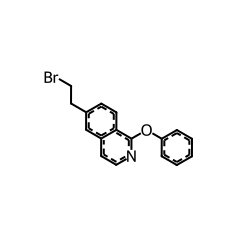 BrCCc1ccc2c(Oc3ccccc3)nccc2c1